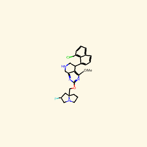 COc1nc(OCC23CCCN2CC(F)C3)nc2c1C(c1cccc3cccc(Cl)c13)CNC2